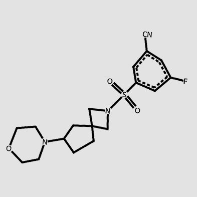 N#Cc1cc(F)cc(S(=O)(=O)N2CC3(CCC(N4CCOCC4)C3)C2)c1